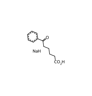 O=C(O)CCCCC(=O)c1ccccc1.[NaH]